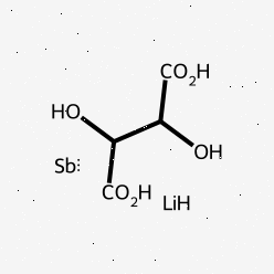 O=C(O)C(O)C(O)C(=O)O.[LiH].[Sb]